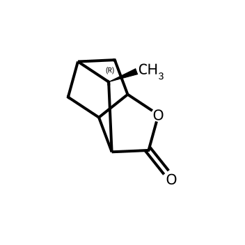 C[C@@H]1C2CC3OC(=O)C1C3C2